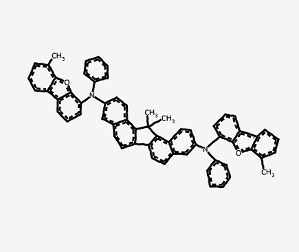 Cc1cccc2c1oc1c(N(c3ccccc3)c3ccc4c5c(ccc4c3)-c3ccc4cc(N(c6ccccc6)c6cccc7c6oc6c(C)cccc67)ccc4c3C5(C)C)cccc12